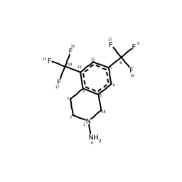 NN1CCc2c(cc(C(F)(F)F)cc2C(F)(F)F)C1